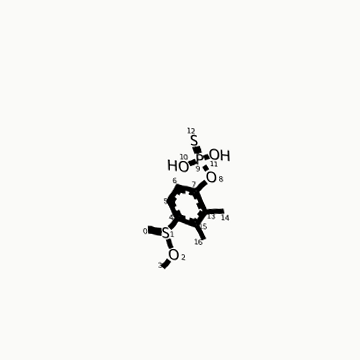 C=S(OC)c1ccc(OP(O)(O)=S)c(C)c1C